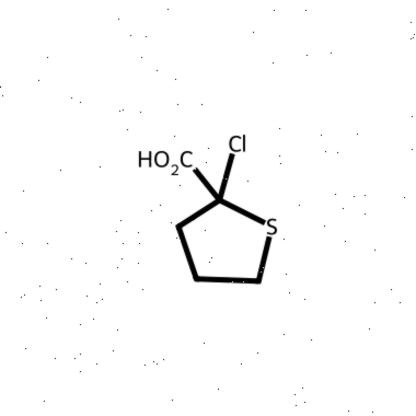 O=C(O)C1(Cl)CCCS1